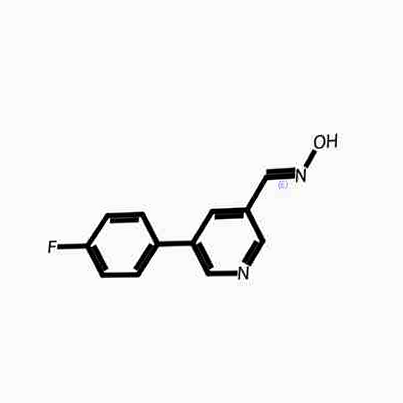 O/N=C/c1cncc(-c2ccc(F)cc2)c1